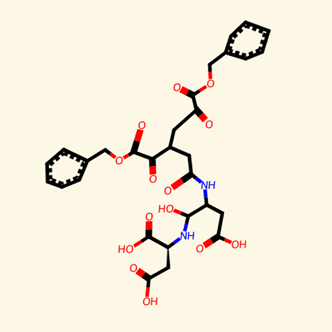 O=C(O)CC(NC(=O)CC(CC(=O)C(=O)OCc1ccccc1)C(=O)C(=O)OCc1ccccc1)C(O)N[C@@H](CC(=O)O)C(=O)O